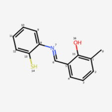 Cc1cccc(C=Nc2ccccc2S)c1O